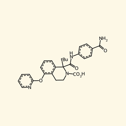 CC(C)(C)C1(C(=O)Nc2ccc(C(N)=O)cc2)c2cccc(Oc3ccccn3)c2CCN1C(=O)O